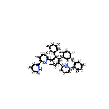 C[Si]1(C)C(c2cccc(-c3ccccc3)n2)=C(c2ccccc2)C(c2ccccc2)=C1c1cccc(-c2ccccn2)n1